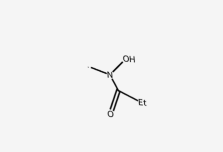 [CH2]N(O)C(=O)CC